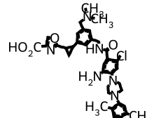 Cc1ccc(C)c(N2CCN(c3cc(Cl)c(C(=O)NCc4cc(CN(C)C)cc(C5CC5c5nc(C(=O)O)co5)c4)cc3N)CC2)c1